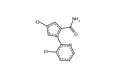 NC(=O)c1cc(Cl)cn1-c1ncccc1Cl